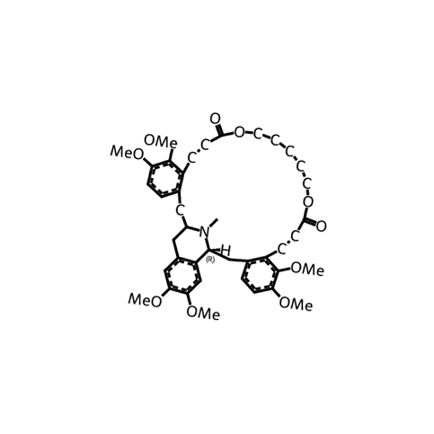 COc1cc2c(cc1OC)[C@H]1Cc3ccc(OC)c(OC)c3CCC(=O)OCCCCCOC(=O)CCc3c(ccc(OC)c3OC)CC(C2)N1C